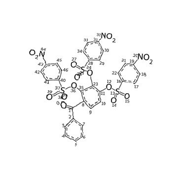 O=C(c1ccccc1)c1ccc(OS(=O)(=O)c2ccc([N+](=O)[O-])cc2)c(OS(=O)(=O)c2ccc([N+](=O)[O-])cc2)c1OS(=O)(=O)c1ccc([N+](=O)[O-])cc1